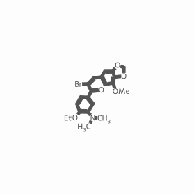 CCOc1ccc(C(=O)/C(Br)=C\c2cc(OC)c3c(c2)OCO3)cc1N(C)C